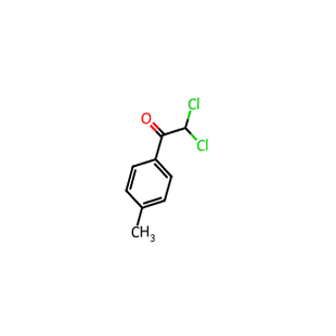 Cc1ccc(C(=O)C(Cl)Cl)cc1